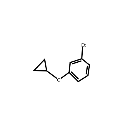 CCc1[c]ccc(OC2CC2)c1